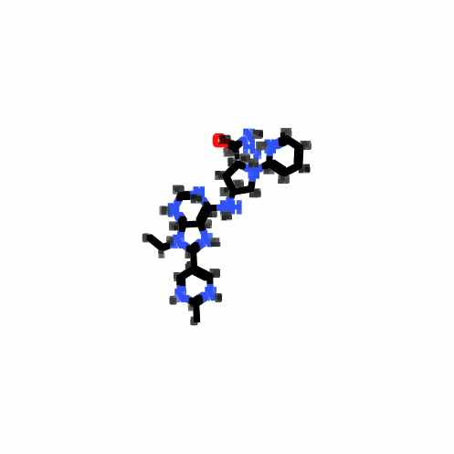 CCn1c(-c2cnc(C)nc2)nc2c(N[C@H]3C[C@H](C(N)=O)N(c4ccccn4)C3)ncnc21